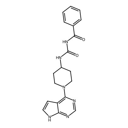 O=C(NC(=O)c1ccccc1)NC1CCN(c2ncnc3[nH]ccc23)CC1